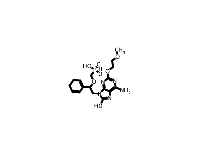 COCCOc1nc(N)c2nc(O)n(CC(OCP(=O)(O)O)C3=CCCC=C3)c2n1